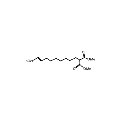 CCCCCCCCC=CCCCCCCCC(C(=O)OC)C(=O)OC